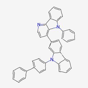 c1ccc(-c2ccc(-n3c4ccccc4c4ccc(-c5ccnc6c7ccccc7n(-c7ccccc7)c56)cc43)cc2)cc1